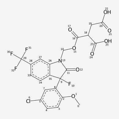 COc1ccc(Cl)cc1C1(F)C(=O)N(COC(=O)C(CC(=O)O)C(=O)O)c2cc(C(F)(F)F)ccc21